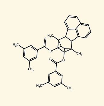 Cc1cc(C)cc(C(=O)OC2C(OC(=O)c3cc(C)cc(C)c3)C3(C)CCC2(C)C2c4cccc5cccc(c45)C23)c1